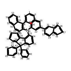 c1ccc(-c2c(N(c3cccc(-c4ccc5ccccc5c4)c3)c3cccc4c3-c3ccccc3C4(c3ccccc3)c3ccccc3)ccc3ccccc23)cc1